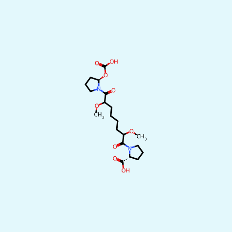 COC(CCCCC(OC)C(=O)N1CCC[C@H]1OC(=O)O)C(=O)N1CCC[C@@H]1C(=O)O